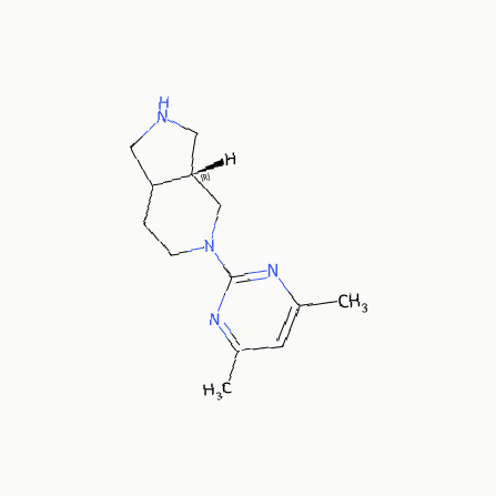 Cc1cc(C)nc(N2CCC3CNC[C@@H]3C2)n1